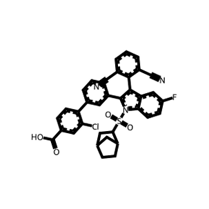 N#Cc1cccc(C#N)c1-c1c(-c2cccc(-c3ccc(C(=O)O)cc3Cl)c2)n(S(=O)(=O)C2CC3CCC2C3)c2ccc(F)cc12